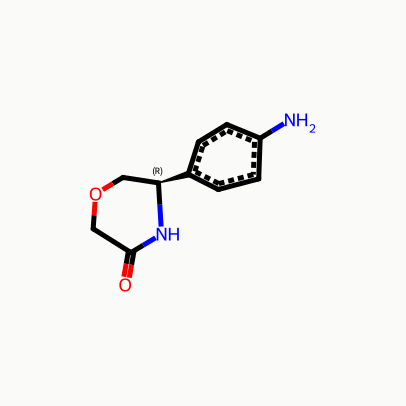 Nc1ccc([C@@H]2COCC(=O)N2)cc1